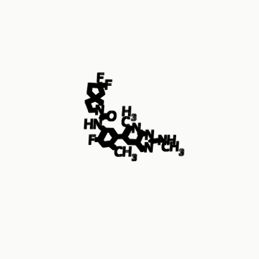 CNc1ncc2cc(-c3cc(NC(=O)N4CCC5(CCC(F)(F)C5)C4)c(F)cc3C)c(C)nc2n1